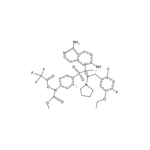 CCOc1cc([C@@H](Nc2ccc3c(N)nccc3c2)C(=O)N2CCC[C@@H]2c2cc(N(OC(=O)C(F)(F)F)C(=O)OC)ccc2S(=O)(=O)C(C)C)c(F)cc1F